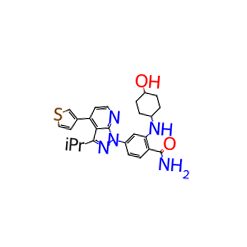 CC(C)c1nn(-c2ccc(C(N)=O)c(NC3CCC(O)CC3)c2)c2nccc(-c3ccsc3)c12